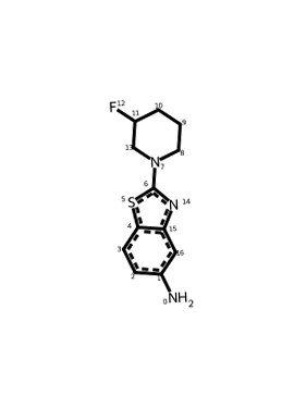 Nc1ccc2sc(N3CCCC(F)C3)nc2c1